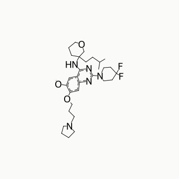 COc1cc2c(NC3(CCC(C)C)CCCOC3)nc(N3CCC(F)(F)CC3)nc2cc1OCCCN1CCCC1